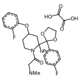 CCCC1(C2(c3ccc(F)cc3)OCCO2)CC(Oc2ccccc2F)CCN1C(=O)CNC.O=C(O)C(=O)O